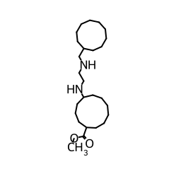 COC(=O)C1CCCCCCC(NCCNCC2CCCCCCCCC2)CCC1